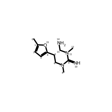 Cc1ccc(CCN(C)C(=N)N(C)CN)o1